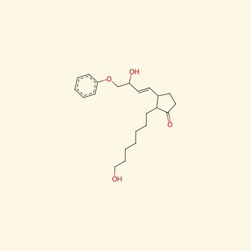 O=C1CCC(C=CC(O)COc2ccccc2)C1CCCCCCCO